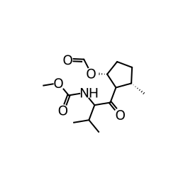 COC(=O)NC(C(=O)C1[C@@H](C)CC[C@H]1OC=O)C(C)C